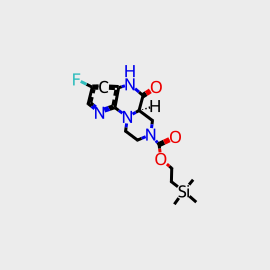 C[Si](C)(C)CCOC(=O)N1CCN2c3ncc(F)cc3NC(=O)[C@H]2C1